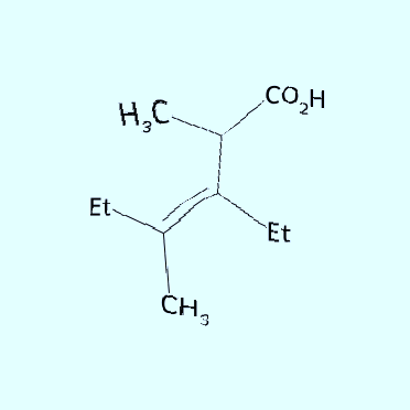 CCC(C)=C(CC)C(C)C(=O)O